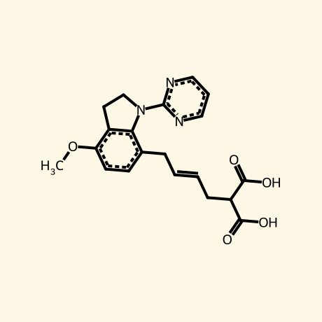 COc1ccc(CC=CCC(C(=O)O)C(=O)O)c2c1CCN2c1ncccn1